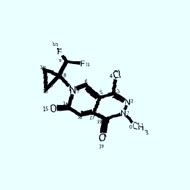 Cn1nc(Cl)c2cn(C3(C(F)F)CC3)c(=O)cc2c1=O